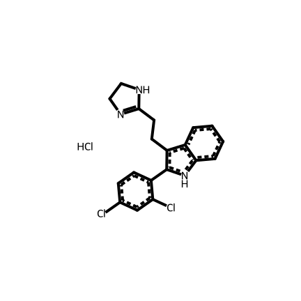 Cl.Clc1ccc(-c2[nH]c3ccccc3c2CCC2=NCCN2)c(Cl)c1